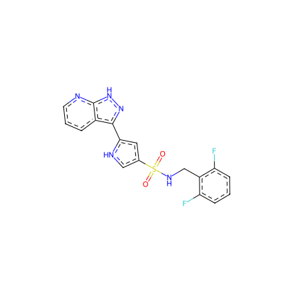 O=S(=O)(NCc1c(F)cccc1F)c1c[nH]c(-c2n[nH]c3ncccc23)c1